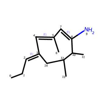 CC/C=C1/C=C(C)/C=C(/N)C(C)C(C)C1